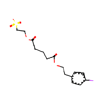 O=C(CCCC(=O)OCCS(=O)(=O)O)OCCc1ccc(I)cc1